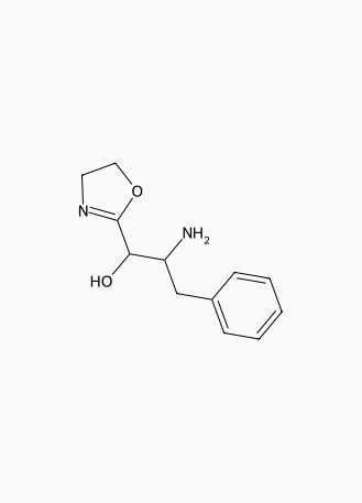 NC(Cc1ccccc1)C(O)C1=NCCO1